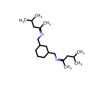 CC(CC(C)C)=NCC1CCCC(CN=C(C)CC(C)C)C1